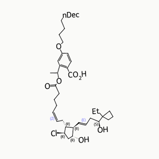 CCCCCCCCCCCCCCOc1ccc(C(=O)O)c(C(C)OC(=O)CCC/C=C\C[C@@H]2[C@@H](/C=C/C[C@H](O)C3(CC)CCC3)[C@H](O)C[C@H]2Cl)c1